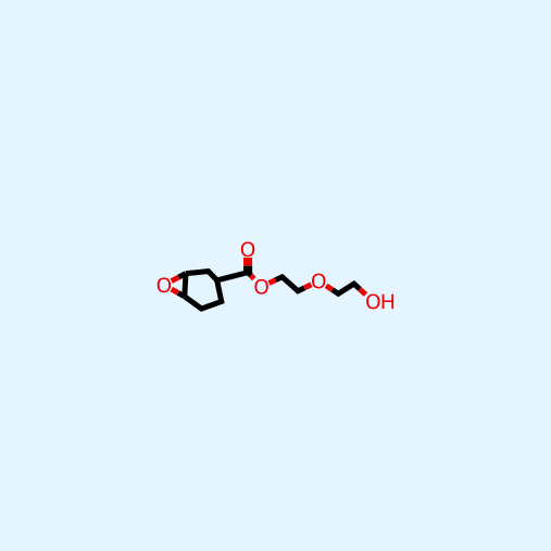 O=C(OCCOCCO)C1CCC2OC2C1